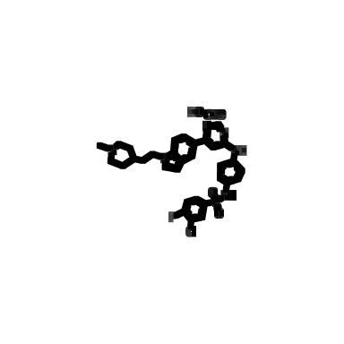 CN1CCC(CCn2ccc3cc(-c4cc(Nc5ccc(NS(=O)(=O)c6ccc(F)c(Cl)c6)cc5)ncn4)ccc32)CC1.O=CO